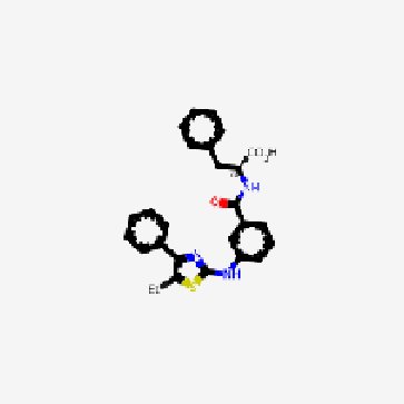 CCc1sc(Nc2cccc(C(=O)N[C@@H](Cc3ccccc3)C(=O)O)c2)nc1-c1ccccc1